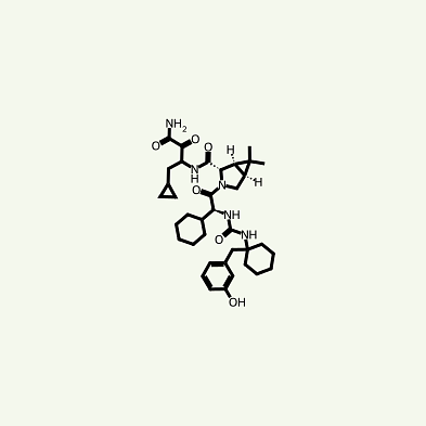 CC1(C)[C@@H]2[C@@H](C(=O)NC(CC3CC3)C(=O)C(N)=O)N(C(=O)[C@@H](NC(=O)NC3(Cc4cccc(O)c4)CCCCC3)C3CCCCC3)C[C@@H]21